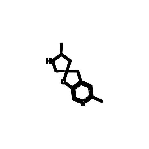 Cc1cc2c(cn1)O[C@]1(CN[C@@H](C)C1)C2